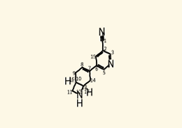 N#Cc1cncc(C2=CC[C@@H]3CN[C@@H]3C2)c1